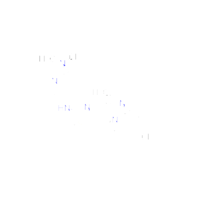 Cc1ccn2c(-c3csc(Nc4ccc(N(C)C)nc4)n3)c(C)nc2c1